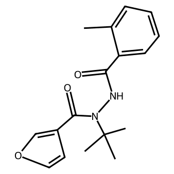 Cc1ccccc1C(=O)NN(C(=O)c1ccoc1)C(C)(C)C